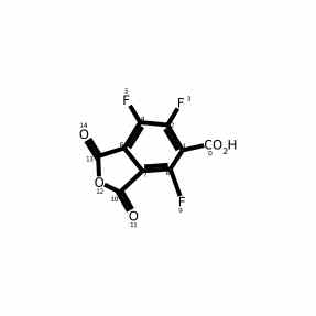 O=C(O)c1c(F)c(F)c2c(c1F)C(=O)OC2=O